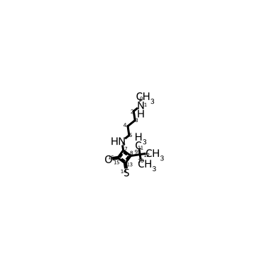 CNCCCCNc1c(C(C)(C)C)c(=S)c1=O